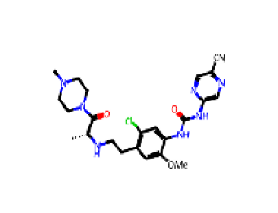 COc1cc(CCN[C@H](C)C(=O)N2CCN(C)CC2)c(Cl)cc1NC(=O)Nc1cnc(C#N)cn1